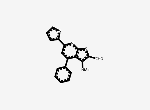 CNc1c(C=O)sc2nc(-c3cccs3)cc(-c3ccccc3)c12